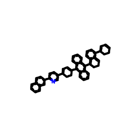 C1=CCCC(c2cccc3c2=CCCC=3c2c3ccccc3c(C3=CC=C(c4ccc(-c5ccc6ccccc6c5)nc4)CC3)c3ccccc23)=C1